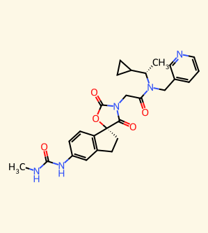 CNC(=O)Nc1ccc2c(c1)CC[C@@]21OC(=O)N(CC(=O)N(Cc2cccnc2)[C@@H](C)C2CC2)C1=O